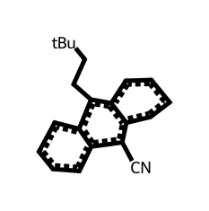 CC(C)(C)CCc1c2ccccc2c(C#N)c2ccccc12